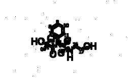 CC(O)(C(=O)N(c1ccccc1)S(=O)(=O)NCCO)C(F)(F)F